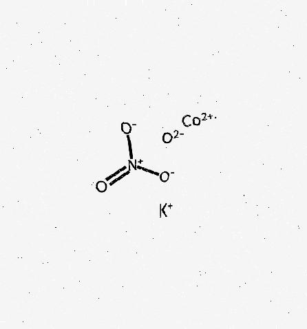 O=[N+]([O-])[O-].[Co+2].[K+].[O-2]